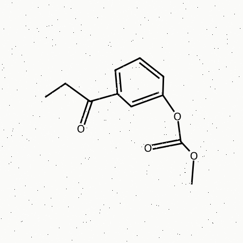 CCC(=O)c1cccc(OC(=O)OC)c1